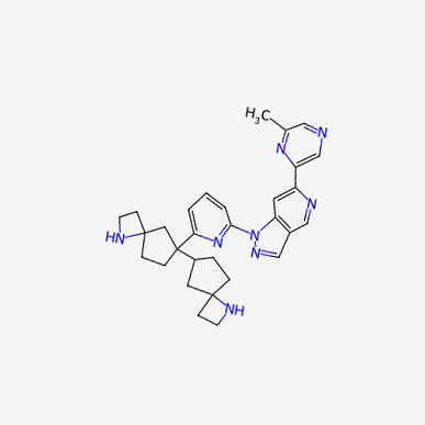 Cc1cncc(-c2cc3c(cn2)cnn3-c2cccc(C3(C4CCC5(CCN5)C4)CCC4(CCN4)C3)n2)n1